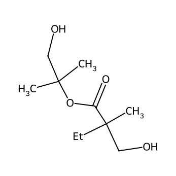 CCC(C)(CO)C(=O)OC(C)(C)CO